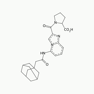 O=C(CC12CC3CC(CC(C3)C1)C2)Nc1cccc2nc(C(=O)N3CCCC3C(=O)O)cn12